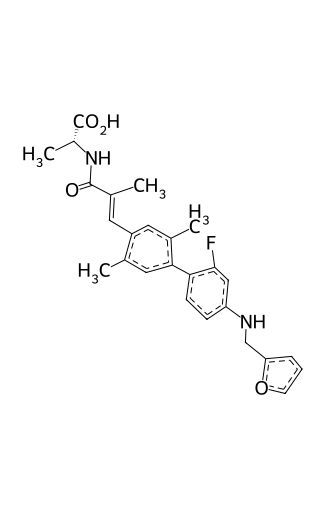 C/C(=C\c1cc(C)c(-c2ccc(NCc3ccco3)cc2F)cc1C)C(=O)N[C@H](C)C(=O)O